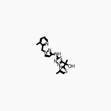 Cc1csc(C(C)(O)c2nnc(Nc3ccn(Cc4ncccc4C)n3)s2)n1